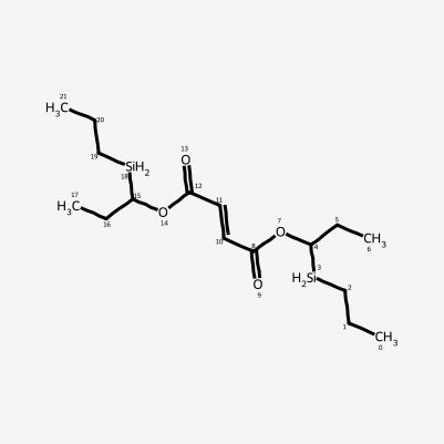 CCC[SiH2]C(CC)OC(=O)/C=C/C(=O)OC(CC)[SiH2]CCC